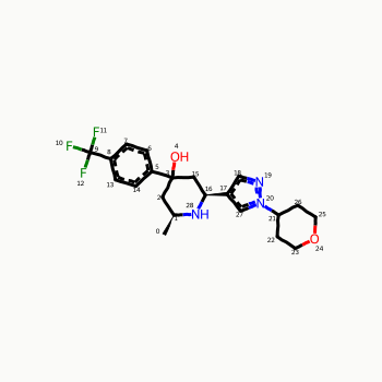 C[C@H]1CC(O)(c2ccc(C(F)(F)F)cc2)C[C@@H](c2cnn(C3CCOCC3)c2)N1